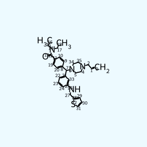 C=CCN1CCN(C(c2ccc(C(=O)N(CC)CC)cc2)c2cccc(NCc3cccs3)c2)CC1